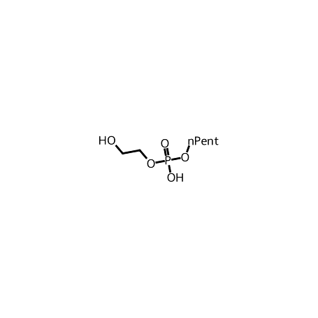 CCCCCOP(=O)(O)OCCO